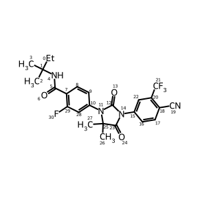 CCC(C)(C)NC(=O)c1ccc(N2C(=O)N(c3ccc(C#N)c(C(F)(F)F)c3)C(=O)C2(C)C)cc1F